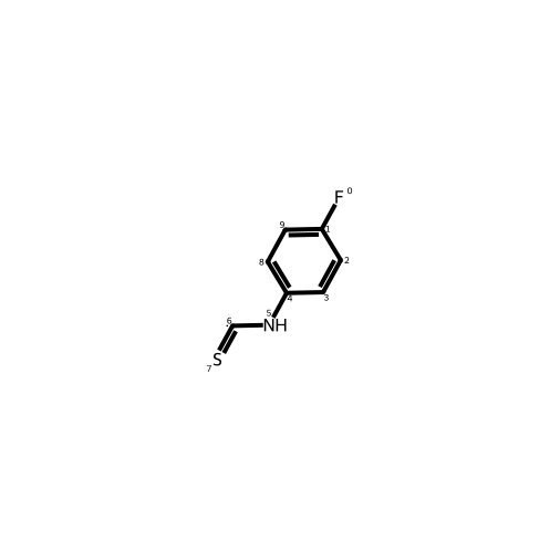 Fc1ccc(N[C]=S)cc1